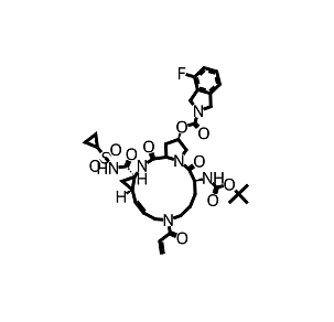 C=CC(=O)N1C/C=C\[C@@H]2C[C@@]2(C(=O)NS(=O)(=O)C2CC2)NC(=O)C2C[C@@H](OC(=O)N3Cc4cccc(F)c4C3)CN2C(=O)[C@@H](NC(=O)OC(C)(C)C)CCC1